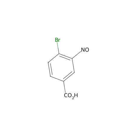 O=Nc1cc(C(=O)O)ccc1Br